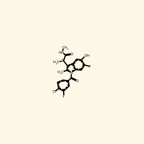 CNC(=O)[C@H](C)c1c(C)n(C(=O)c2ccc(Cl)c(F)c2)c2cc(F)c(O)cc12